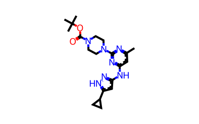 Cc1cc(Nc2cc(C3CC3)[nH]n2)nc(N2CCN(C(=O)OC(C)(C)C)CC2)n1